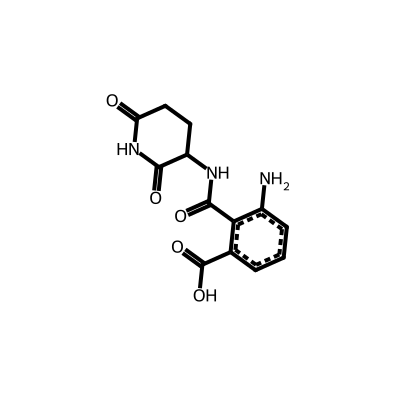 Nc1cccc(C(=O)O)c1C(=O)NC1CCC(=O)NC1=O